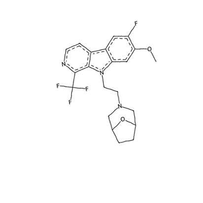 COc1cc2c(cc1F)c1ccnc(C(F)(F)F)c1n2CCN1CC2CCC(C1)O2